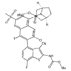 CC(C)(C)OC(=O)Nc1sc2c(F)ccc(-c3c(Cl)cc4c(N5C[C@H]6CC[C@@H](C5)N6C(=O)OC(C)(C)C)nc(S(C)(=O)=O)nc4c3F)c2c1C#N